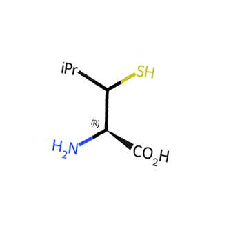 CC(C)C(S)[C@H](N)C(=O)O